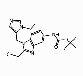 CCn1cncc1Cn1c(CCl)nc2cc(NC(=O)OC(C)(C)C)ccc21